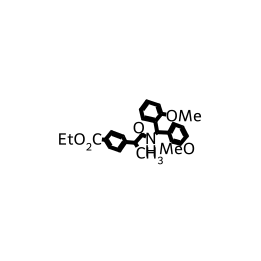 CCOC(=O)c1ccc(C(C)C(=O)NC(c2ccccc2OC)c2ccccc2OC)cc1